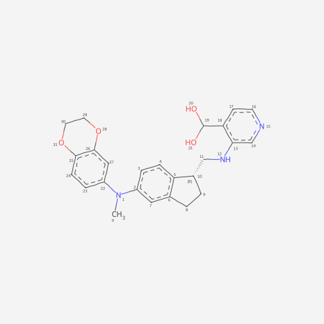 CN(c1ccc2c(c1)CC[C@H]2CNc1cnccc1C(O)O)c1ccc2c(c1)OCCO2